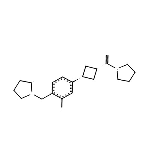 O=C([C@H]1C[C@H](c2ccc(CN3CCCC3)c(F)c2)C1)N1CCCC1